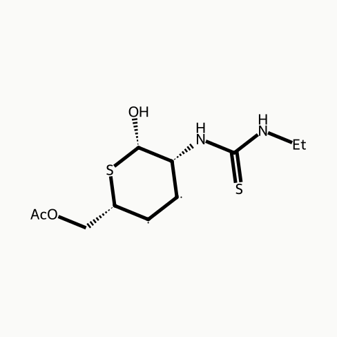 CCNC(=S)N[C@@H]1[CH][CH][C@H](COC(C)=O)S[C@@H]1O